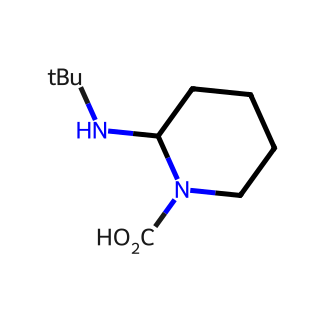 CC(C)(C)NC1CCCCN1C(=O)O